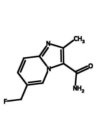 Cc1nc2ccc(CF)cn2c1C(N)=O